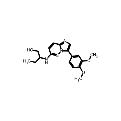 CCC(CO)Nc1ccc2ncc(-c3ccc(OC)c(OC)c3)n2n1